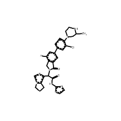 CC1CN(c2ccc(-c3cc(F)c4c(c3)C(=O)N(C(C(=O)Nc3nccs3)c3ncn5c3CCC5)C4)cc2Cl)CCN1